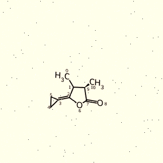 CC1C(=C2CC2)OC(=O)[C@@H]1C